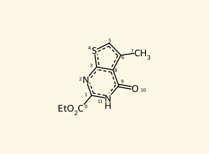 CCOC(=O)c1nc2scc(C)c2c(=O)[nH]1